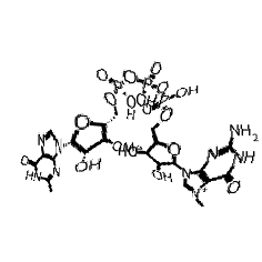 COC1[C@@H](COP(=O)(O)OP(=O)(O)OP(=O)(O)OCC2OC(n3c[n+](C)c4c(=O)[nH]c(N)nc43)C(O)C2O)O[C@@H](n2cnc3c(=O)[nH]c(C)nc32)[C@H]1O